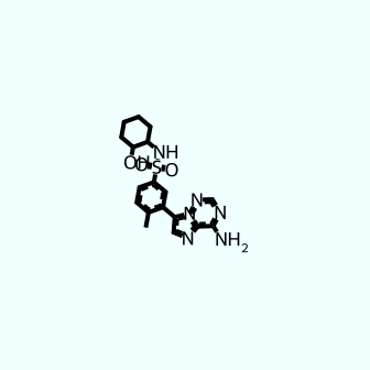 Cc1ccc(S(=O)(=O)NC2CCCCC2O)cc1-c1cnc2c(N)ncnn12